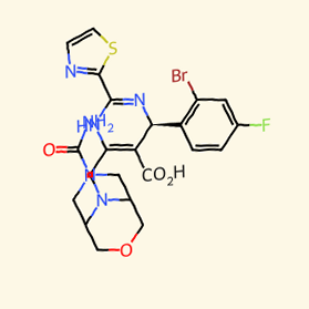 NC(=O)N1CC2COCC(C1)N2CC1=C(C(=O)O)[C@H](c2ccc(F)cc2Br)N=C(c2nccs2)N1